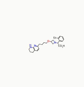 CCc1ccccc1C(C(=O)O)N1CC(OCCCCc2ccc3c(n2)NCCC3)C1